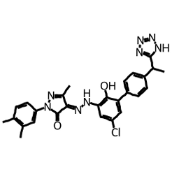 CC1=NN(c2ccc(C)c(C)c2)C(=O)/C1=N/Nc1cc(Cl)cc(-c2ccc(C(C)c3nnn[nH]3)cc2)c1O